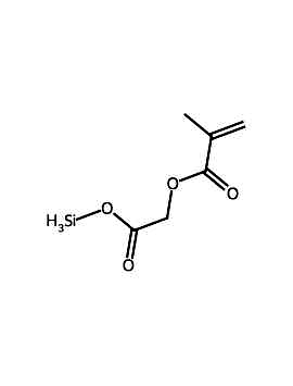 C=C(C)C(=O)OCC(=O)O[SiH3]